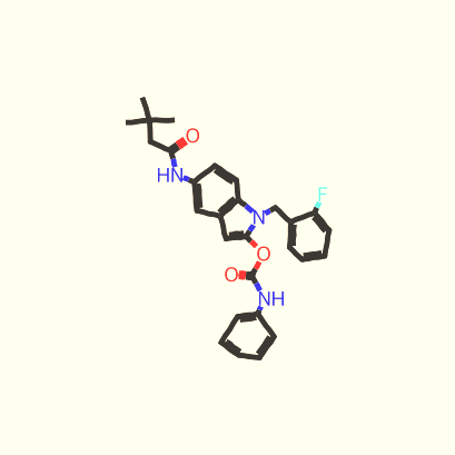 CC(C)(C)CC(=O)Nc1ccc2c(c1)cc(OC(=O)Nc1ccccc1)n2Cc1ccccc1F